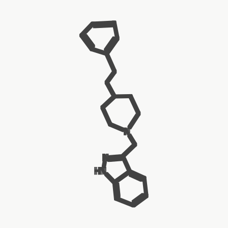 c1ccc(CCC2CCN(Cc3n[nH]c4ccccc34)CC2)cc1